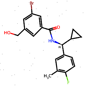 Cc1cc([C@@H](NC(=O)c2cc(Br)cc(CO)c2)C2CC2)ccc1F